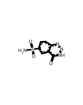 NS(=O)(=O)c1ccc2nn[nH]c(=O)c2c1